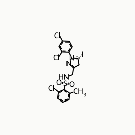 Cc1cccc(Cl)c1S(=O)(=O)NCC1=NN(c2ccc(Cl)cc2Cl)[C@H](I)C1